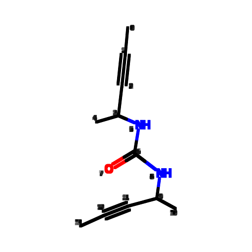 CC#CC(C)NC(=O)NC(C)C#CC